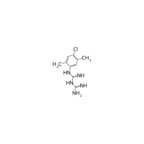 Cc1cc(NC(=N)NC(=N)N)c(C)cc1Cl